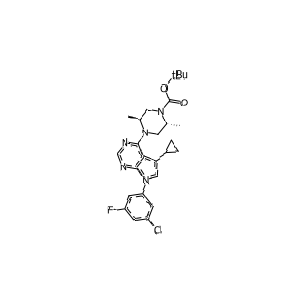 C[C@@H]1CN(c2ncnc3c2c(C2CC2)cn3-c2cc(F)cc(Cl)c2)[C@@H](C)CN1C(=O)OC(C)(C)C